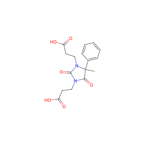 CC1(c2ccccc2)C(=O)N(CCC(=O)O)C(=O)N1CCC(=O)O